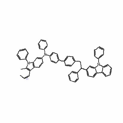 C/C=C\c1c(C)n(-c2ccccc2)c2cc(N(c3ccccc3)c3ccc(-c4ccc(CC(c5ccccc5)c5ccc6c7ccccc7n(-c7ccccc7)c6c5)cc4)cc3)ccc12